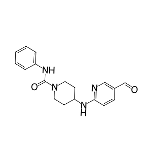 O=Cc1ccc(NC2CCN(C(=O)Nc3ccccc3)CC2)nc1